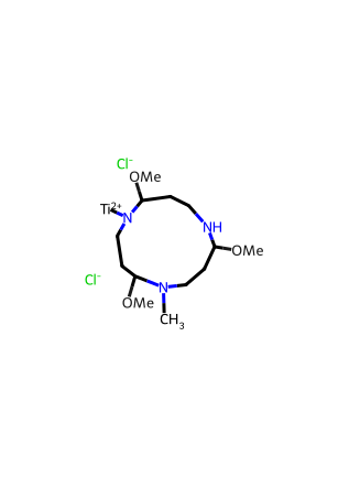 COC1CCN(C)C(OC)CC[N]([Ti+2])C(OC)CCN1.[Cl-].[Cl-]